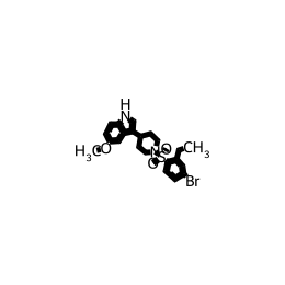 CCc1cc(Br)ccc1S(=O)(=O)N1CCC(c2c[nH]c3ccc(OC)cc23)CC1